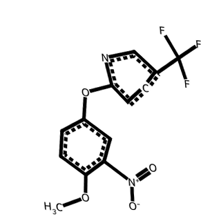 COc1ccc(Oc2ccc(C(F)(F)F)cn2)cc1[N+](=O)[O-]